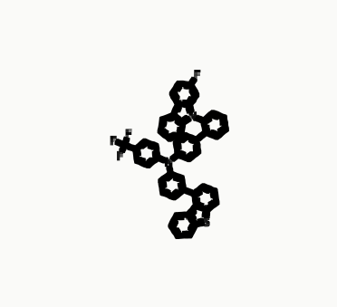 Fc1ccc2c3ccccc3n(-c3ccccc3-c3ccc(N(c4ccc(C(F)(F)F)cc4)c4cccc(-c5cccc6sc7ccccc7c56)c4)cc3)c2c1